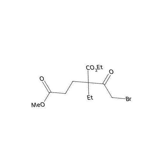 CCOC(=O)C(CC)(CCC(=O)OC)C(=O)CBr